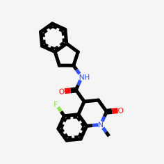 CN1C(=O)CC(C(=O)NC2Cc3ccccc3C2)c2c(F)cccc21